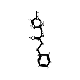 O=C(CCc1ccccc1)[N]c1nc[nH]n1